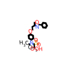 CC(C)N(C(C(=O)O)=S(=O)=O)c1ccc(OCCc2coc(-c3ccccc3)n2)cc1